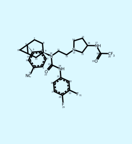 N#Cc1cccc([C@]23CC[C@@H](N(CCN4CCC(NC(=O)C(F)(F)F)C4)C(=O)Nc4ccc(F)c(F)c4)CC2C3)c1